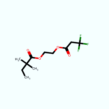 CCC(C)(C)C(=O)OCCOC(=O)CC(F)(F)F